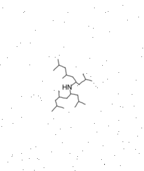 CC(C)CC(C)CC(CC(C)C)NC(CC(C)C)CC(C)CC(C)C